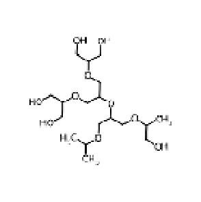 CC(C)OCC(COC(C)CO)OC(COC(CO)CO)COC(CO)CO